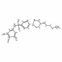 CCCCC[C@H]1CC[C@H](c2ccc(C(F)(F)Oc3cc(F)c(F)c(F)c3)cc2)CC1